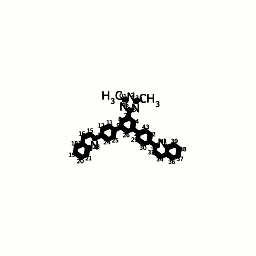 Cc1nc(C)nc(-c2cc(-c3ccc(-c4ccc5ccccc5n4)cc3)cc(-c3ccc(-c4ccc5ccccc5n4)cc3)c2)n1